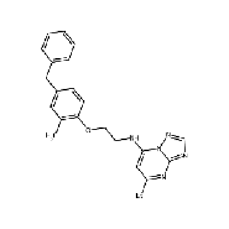 CCc1cc(NCCOc2ccc(Cc3ccccc3)cc2C)n2ncnc2n1